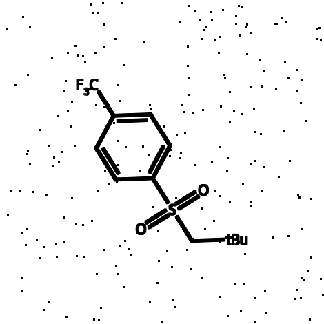 CC(C)(C)CS(=O)(=O)c1ccc(C(F)(F)F)cc1